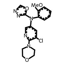 COc1ccccc1N(c1cnc(N2CCOCC2)c(Cl)c1)c1nnco1